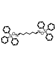 C(/CCCC/C=N/O[Si](c1ccccc1)(c1ccccc1)c1ccccc1)=N\O[Si](c1ccccc1)(c1ccccc1)c1ccccc1